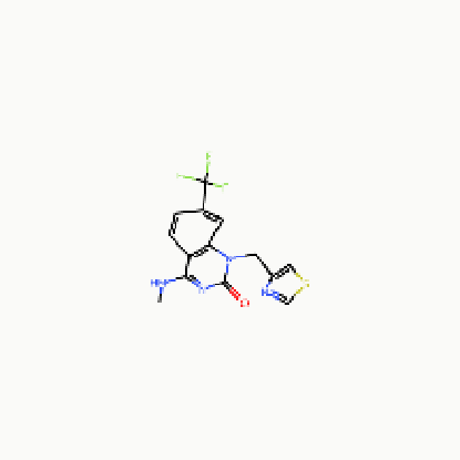 CNc1nc(=O)n(Cc2cscn2)c2cc(C(F)(F)F)ccc12